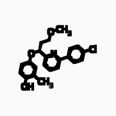 COCC[C@H](Oc1ccc(O)c(C)c1)c1cccc(-c2ccc(Cl)cc2)n1